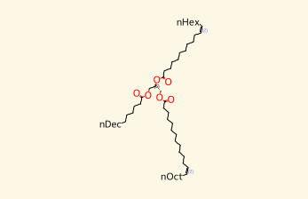 CCCCCC/C=C\CCCCCCCCCC(=O)O[C@H](COC(=O)CCCCCCCCCCC/C=C\CCCCCCCC)COC(=O)CCCCCCCCCCCCCCC